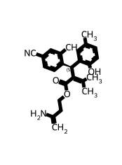 C=C(N)CCOC(=O)C(=C(C)C)[C@@H](c1ccc(C#N)cc1C)c1cc(C)ccc1O